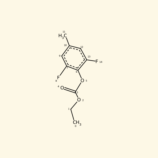 CCOC(=O)Oc1c(F)cc(C)cc1F